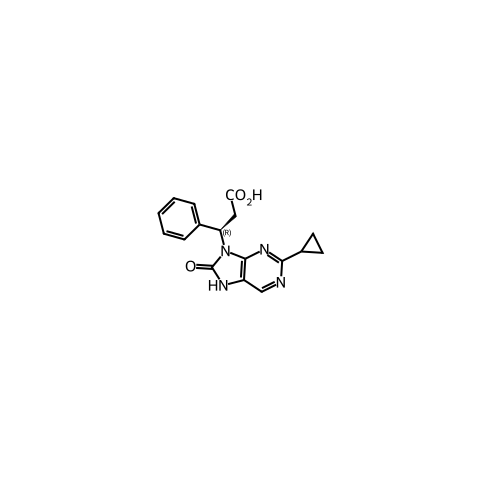 O=C(O)C[C@H](c1ccccc1)n1c(=O)[nH]c2cnc(C3CC3)nc21